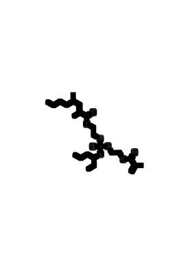 C=C(C)C(=O)OCCOP(=O)(OCCOC(=O)/C(C)=C/C(C)CCCC)OC(CC)CCC